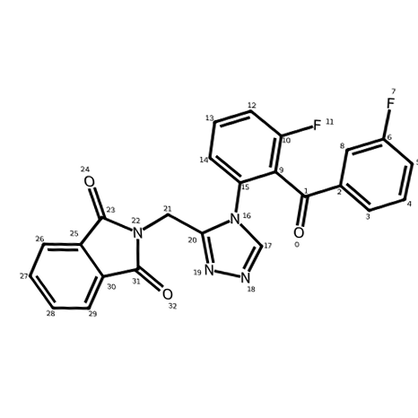 O=C(c1cccc(F)c1)c1c(F)cccc1-n1cnnc1CN1C(=O)c2ccccc2C1=O